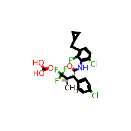 C[C@H]([C@H](C(=O)Nc1c(Cl)ccc(CC2CC2)c1F)c1ccc(Cl)cc1)C(F)(F)F.O=C(O)O